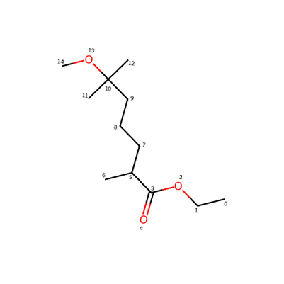 CCOC(=O)C(C)CCCC(C)(C)OC